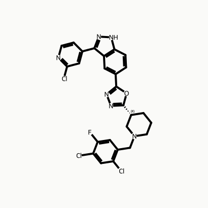 Fc1cc(CN2CCC[C@@H](c3nnc(-c4ccc5[nH]nc(-c6ccnc(Cl)c6)c5c4)o3)C2)c(Cl)cc1Cl